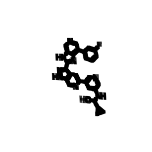 OC(Nc1cncc(-c2cc3c(-c4nc5c(-c6cccc(F)c6)cncc5[nH]4)n[nH]c3cn2)c1)C1CC1